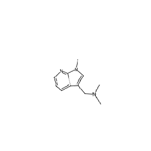 CN(C)Cc1cn(C)c2ncccc12